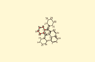 c1ccc2c(P(C3CCCCC3)C3CCCCC3)c(P(C3CCCCC3)C3CCCCC3)ccc2c1